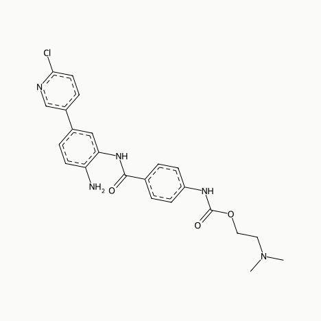 CN(C)CCOC(=O)Nc1ccc(C(=O)Nc2cc(-c3ccc(Cl)nc3)ccc2N)cc1